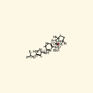 CC(C)(C)OC(=O)N1[C@@H]2CC[C@H]1[C@@H](F)[C@@H](Oc1cncc(Nc3cc(OC(F)F)[nH]n3)n1)C2